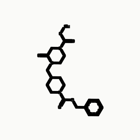 CC(C)(C)OC(=O)N1CCN(CC2CCN(C(=O)OCc3ccccc3)CC2)C(=O)C1